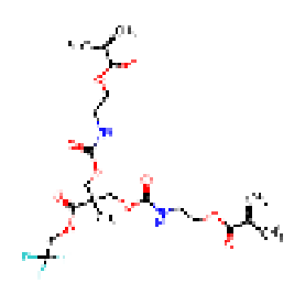 C=C(C)C(=O)OCCNC(=O)OCC(C)(COC(=O)NCCOC(=O)C(=C)C)C(=O)OCC(F)(F)F